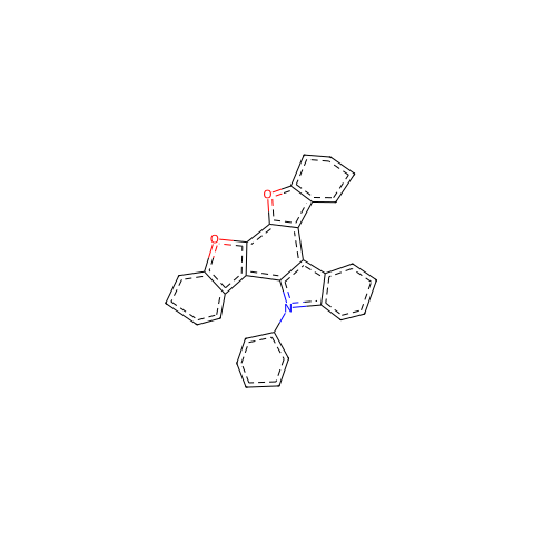 c1ccc(-n2c3ccccc3c3c4c5ccccc5oc4c4oc5ccccc5c4c32)cc1